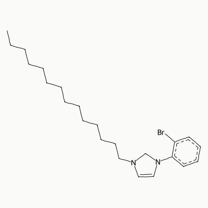 CCCCCCCCCCCCCCN1C=CN(c2ccccc2Br)C1